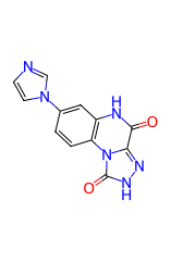 O=c1[nH]c2cc(-n3ccnc3)ccc2n2c(=O)[nH]nc12